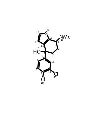 CNC1CCC(O)(c2ccc(Cl)c(Cl)c2)c2ccsc21